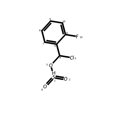 O=[SH](=O)O[C](Cl)c1ccccc1F